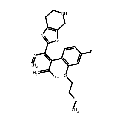 C=N/C(=C(\C(=C)S)c1ccc(F)cc1OCCOC)c1nc2c(s1)CNCC2